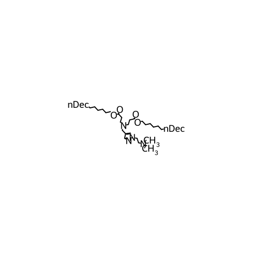 CCCCCCCCCCCCCCCCOC(=O)CCN(CCC(=O)OCCCCCCCCCCCCCCCC)Cc1cnn(CCN(C)C)c1